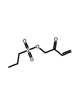 C=CC(=O)COS(=O)(=O)CCC